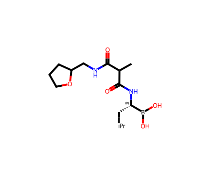 CC(C)C[C@H](NC(=O)C(C)C(=O)NCC1CCCO1)B(O)O